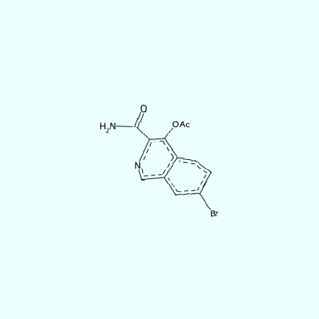 CC(=O)Oc1c(C(N)=O)ncc2cc(Br)ccc12